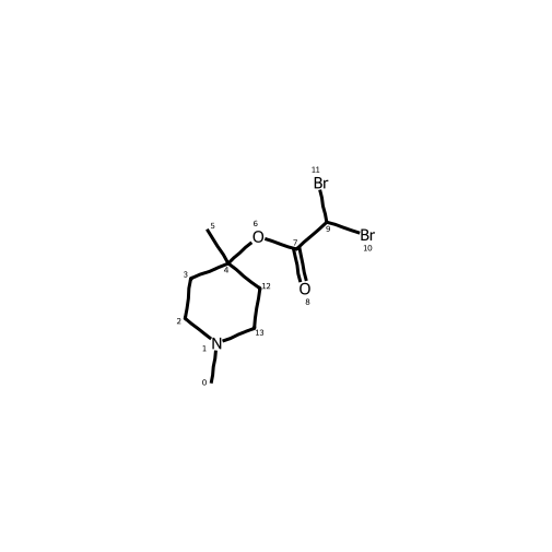 CN1CCC(C)(OC(=O)C(Br)Br)CC1